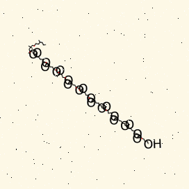 CCCC(C)CCCCC(C)(C)CC(C)COC(=O)CCCCCOC(=O)CCCCCOC(=O)CCCCCOC(=O)CCCCCOC(=O)CCCCCOC(=O)CCCCCOC(=O)CCCCCOC(=O)CCCCCOC(=O)CCCCCOC(=O)CCCCCO